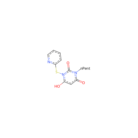 CCCCCn1c(=O)cc(O)n(Sc2ccccn2)c1=O